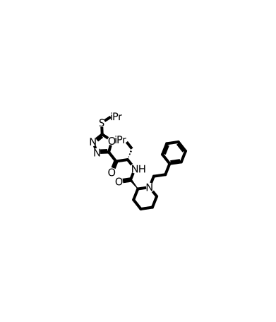 CC(C)C[C@H](NC(=O)[C@@H]1CCCCN1CCc1ccccc1)C(=O)c1nnc(SC(C)C)o1